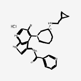 Cl.O=C(Nc1c[nH]c2ncc(Br)c(N3CCC[C@@H](NCC4CC4)C3)c12)c1cccnc1